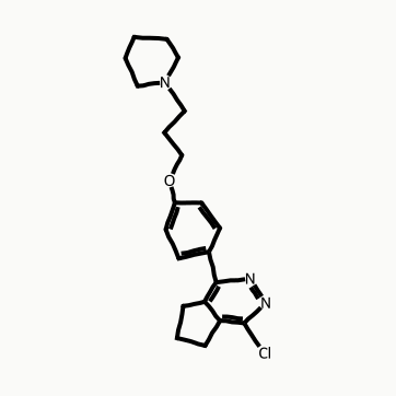 Clc1nnc(-c2ccc(OCCCN3CCCCC3)cc2)c2c1CCC2